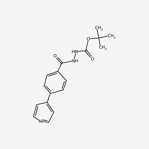 CC(C)(C)OC(=O)NNC(=O)c1ccc(-c2ccncc2)cc1